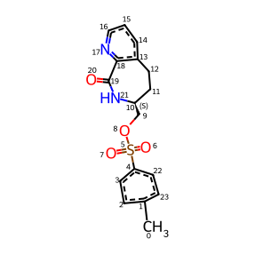 Cc1ccc(S(=O)(=O)OC[C@@H]2CCc3cccnc3C(=O)N2)cc1